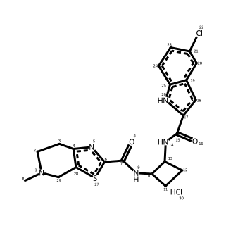 CN1CCc2nc(C(=O)NC3CCC3NC(=O)c3cc4cc(Cl)ccc4[nH]3)sc2C1.Cl